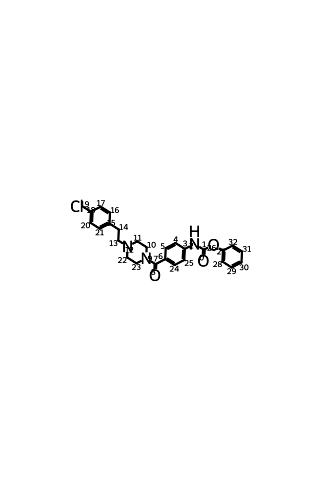 O=C(Nc1ccc(C(=O)N2CCN(CCc3ccc(Cl)cc3)CC2)cc1)Oc1ccccc1